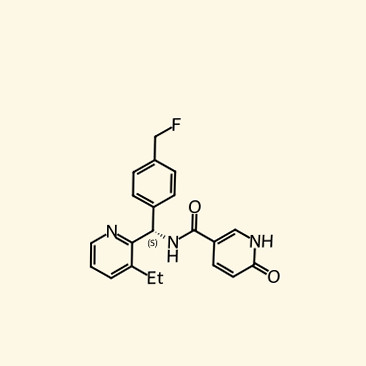 CCc1cccnc1[C@@H](NC(=O)c1ccc(=O)[nH]c1)c1ccc(CF)cc1